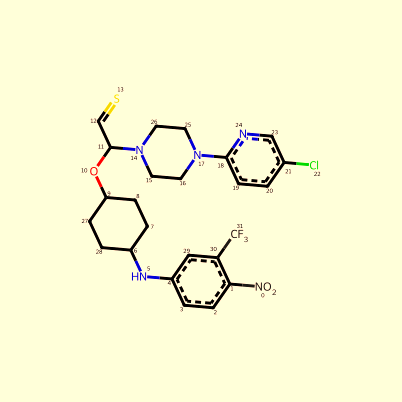 O=[N+]([O-])c1ccc(NC2CCC(OC(C=S)N3CCN(c4ccc(Cl)cn4)CC3)CC2)cc1C(F)(F)F